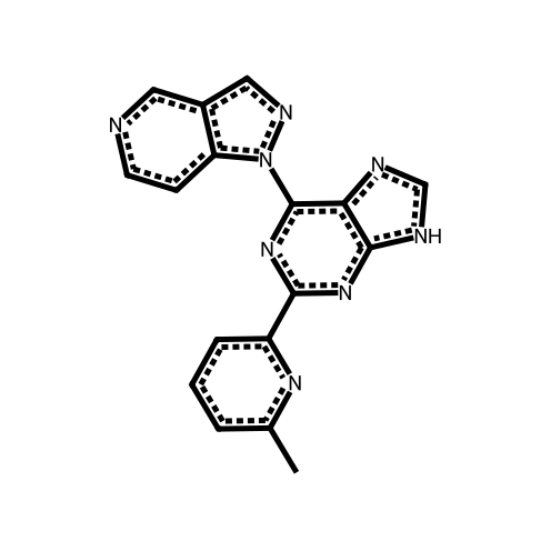 Cc1cccc(-c2nc(-n3ncc4cnccc43)c3nc[nH]c3n2)n1